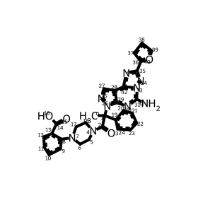 CC(C(=O)N1CCN(c2ccccc2C(=O)O)CC1)(c1ccccc1)n1ncc2c1nc(N)n1nc(-c3ccco3)nc21